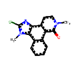 Cn1ccc2c3nc(Cl)n(C)c3c3ccccc3c2c1=O